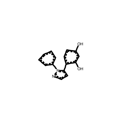 Oc1ccc(-c2ccnn2-c2ccccc2)c(O)c1